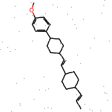 C/C=C/C1CCC(/C=C/C2CCC(c3ccc(OC)cc3)CC2)CC1